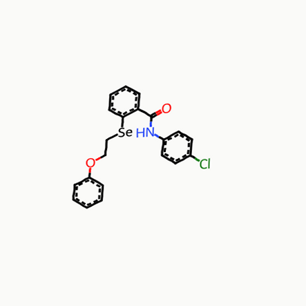 O=C(Nc1ccc(Cl)cc1)c1ccccc1[Se]CCOc1ccccc1